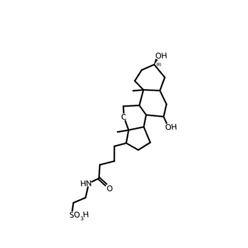 CC12CCC3C(C(O)CC4C[C@H](O)CCC43C)C1CCC2CCCC(=O)NCCS(=O)(=O)O